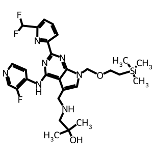 CC(C)(O)CNCc1cn(COCC[Si](C)(C)C)c2nc(-c3cccc(C(F)F)n3)nc(Nc3ccncc3F)c12